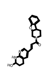 O=C(/C=C/c1cnc2c(c1)CCC(O)N2)N1CCC2c3ccccc3OC2C1